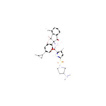 Cc1cc(S(=O)(=O)N2CCC(N(C)C)C2)[nH]c1C(=O)NC12C(=O)c3cccc([N+](=O)[O-])c3C1(O)Oc1cc(C3CC3C)ccc12